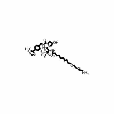 Cc1ncsc1-c1ccc(CNC(=O)[C@@H]2C[C@H](O)CN2C(=O)[C@@H](NC(=O)CCCCCCCCCOCCOCCN)C(C)(C)C)cc1